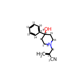 C=C(C#N)CN1CCC(O)(c2ccccc2)CC1